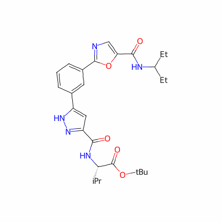 CCC(CC)NC(=O)c1cnc(-c2cccc(-c3cc(C(=O)N[C@H](C(=O)OC(C)(C)C)C(C)C)n[nH]3)c2)o1